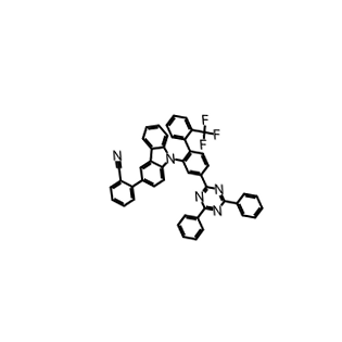 N#Cc1ccccc1-c1ccc2c(c1)c1ccccc1n2-c1cc(-c2nc(-c3ccccc3)nc(-c3ccccc3)n2)ccc1-c1ccccc1C(F)(F)F